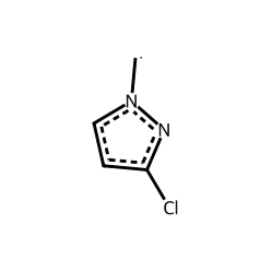 [CH2]n1ccc(Cl)n1